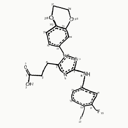 O=C(O)CCc1nc(Nc2ccc(F)c(F)c2)nn1-c1ccc2c(c1)OCCO2